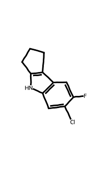 Fc1cc2c3c([nH]c2cc1Cl)CCC3